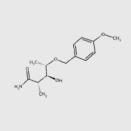 COc1ccc(CO[C@@H](C)[C@@H](O)[C@H](C)C(N)=O)cc1